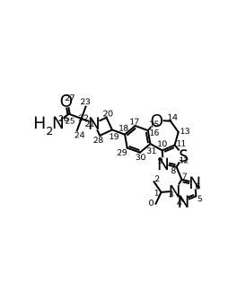 CC(C)n1ncnc1-c1nc2c(s1)CCOc1cc(C3CN(C(C)(C)C(N)=O)C3)ccc1-2